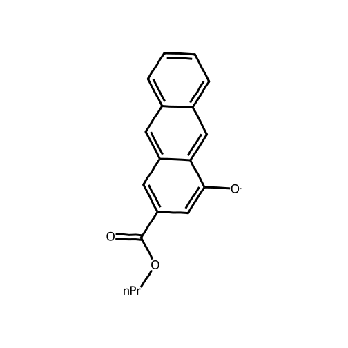 CCCOC(=O)c1cc([O])c2cc3ccccc3cc2c1